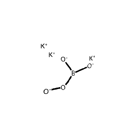 [K+].[K+].[K+].[O-]OB([O-])[O-]